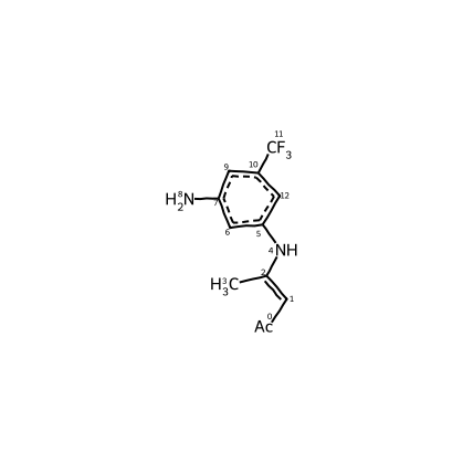 CC(=O)/C=C(\C)Nc1cc(N)cc(C(F)(F)F)c1